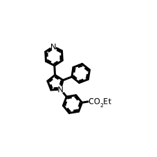 CCOC(=O)c1cccc(-n2ccc(-c3ccncc3)c2-c2ccccc2)c1